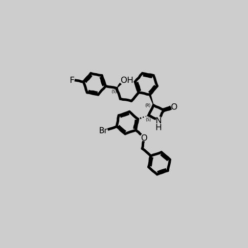 O=C1N[C@H](c2ccc(Br)cc2OCc2ccccc2)[C@H]1c1ccccc1CC[C@H](O)c1ccc(F)cc1